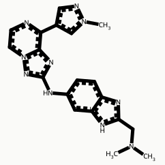 CN(C)Cc1nc2ccc(Nc3nc4c(-c5cnn(C)c5)nccn4n3)cc2[nH]1